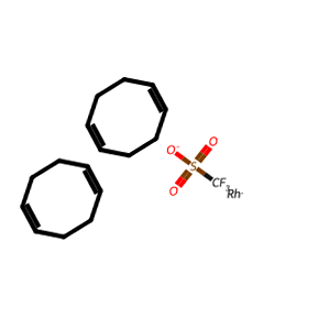 C1=C\CC/C=C\CC/1.C1=C\CC/C=C\CC/1.O=S(=O)([O-])C(F)(F)F.[Rh]